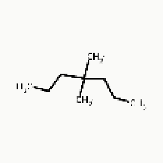 [CH2]C([CH2])(CCC)CCC